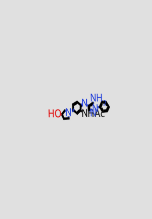 CC(=O)NC1=CC(=[N+]2\CCC(O)C2)/C=CC/1=N/c1cnn(-c2ccccc2)c1N